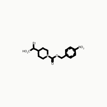 CCC(C(=O)O)C1CCN(C(=O)OCc2ccc([N+](=O)[O-])cc2)CC1